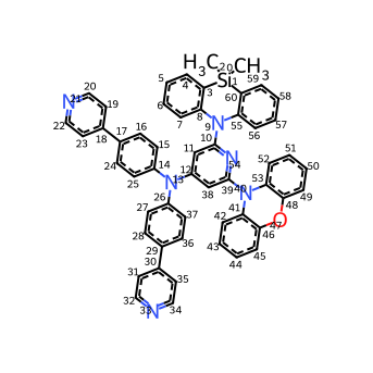 C[Si]1(C)c2ccccc2N(c2cc(N(c3ccc(-c4ccncc4)cc3)c3ccc(-c4ccncc4)cc3)cc(N3c4ccccc4Oc4ccccc43)n2)c2ccccc21